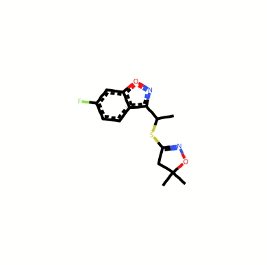 CC(SC1=NOC(C)(C)C1)c1noc2cc(F)ccc12